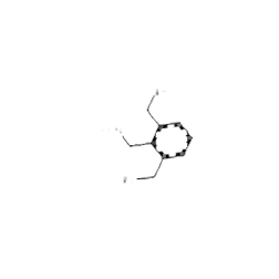 CC(C)Cc1cccc(CC(C)C)c1CN